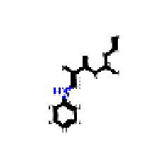 C=CCC(C)CC(=C)/C(C)=C/Nc1ccccc1